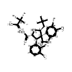 CC(C)(C)C[C@@H]1N[C@@H](C(=O)O)[C@H](c2cccc(Cl)c2F)[C@]12C(=O)Nc1cc(Cl)c(F)cc12.O=C(O)C(F)(F)F